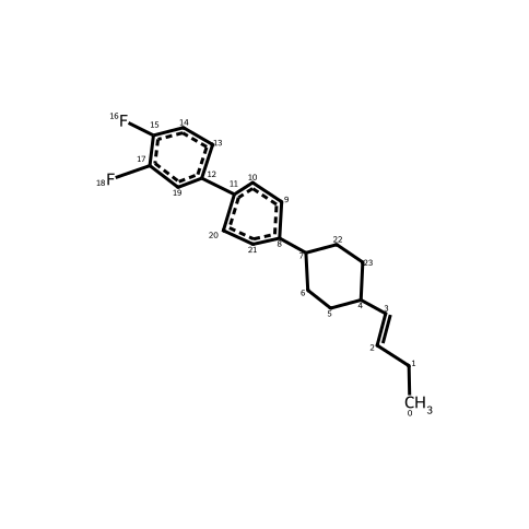 CCC=CC1CCC(c2ccc(-c3ccc(F)c(F)c3)cc2)CC1